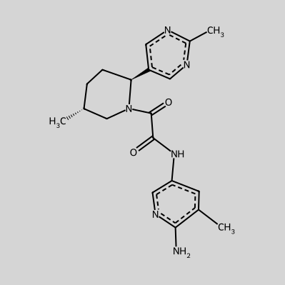 Cc1ncc([C@@H]2CC[C@@H](C)CN2C(=O)C(=O)Nc2cnc(N)c(C)c2)cn1